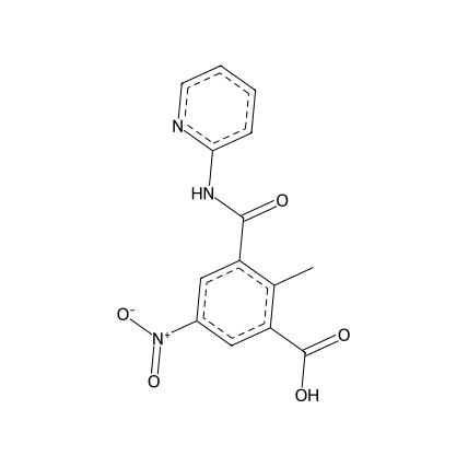 Cc1c(C(=O)O)cc([N+](=O)[O-])cc1C(=O)Nc1ccccn1